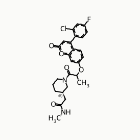 CNC(=O)C[C@H]1CCCN(C(=O)C(C)Oc2ccc3c(-c4ccc(F)cc4Cl)cc(=O)oc3c2)C1